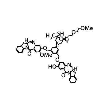 COCCOCCOCCN(CC(C)(C)S)c1cc(COc2cc3c(cc2O)C(=O)N2c4ccccc4C[C@H]2C=N3)cc(COc2cc3c(cc2OC)C(=O)N2c4ccccc4C[C@H]2C=N3)c1